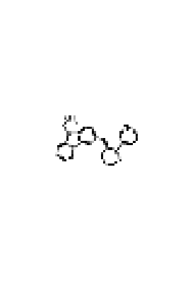 CCn1c2ccccc2c2cc(C=C3CCCN=C3c3cccnc3)ccc21